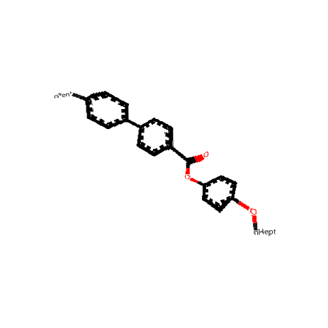 CCCCCCCOc1ccc(OC(=O)c2ccc(-c3ccc(CCCCC)cc3)cc2)cc1